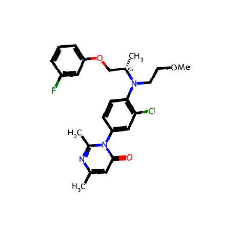 COCCN(c1ccc(-n2c(C)nc(C)cc2=O)cc1Cl)[C@@H](C)COc1cccc(F)c1